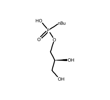 CCCCP(=O)(O)OC[C@@H](O)CO